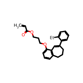 C=CC(=O)OCCCOc1cccc2c1C=C(c1ccccc1CC)CCC2